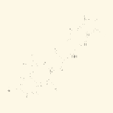 Cc1cnc2ccc(NC(=O)CN3CC4(CC4)c4cc(Br)ccc4C3=O)nn12